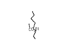 CCCCCCCC.CCOC(C)=O